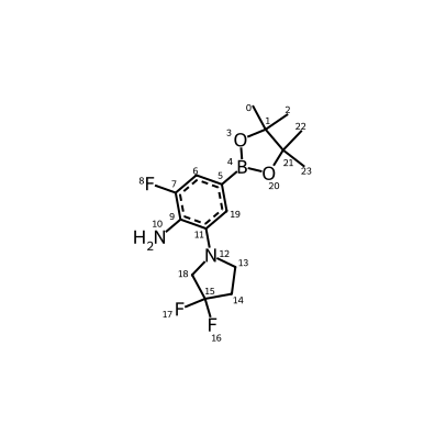 CC1(C)OB(c2cc(F)c(N)c(N3CCC(F)(F)C3)c2)OC1(C)C